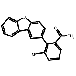 CC(=O)c1cccc(Cl)c1-c1ccc2oc3ccccc3c2c1